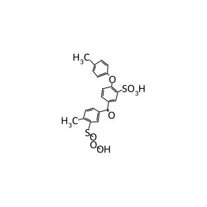 Cc1ccc(Oc2ccc(C(=O)c3ccc(C)c(SOOO)c3)cc2S(=O)(=O)O)cc1